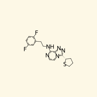 Fc1ccc(F)c(CCNc2nccn3c([C@@H]4CCCS4)nnc23)c1